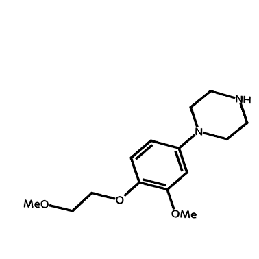 COCCOc1ccc(N2CCNCC2)cc1OC